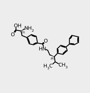 CC(C)[C@@H](CCNC(=O)c1ccc(C[C@H](N)C(=O)O)cc1)c1ccc(-c2ccccc2)cc1